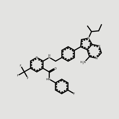 CCC(C)n1cc(-c2ccc(CNc3ncc(C(F)(F)F)cc3C(=O)Nc3ccc(F)cc3)cc2)c2c(N)ncnc21